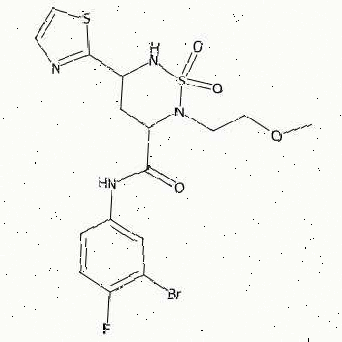 COCCN1C(C(=O)Nc2ccc(F)c(Br)c2)CC(c2nccs2)NS1(=O)=O